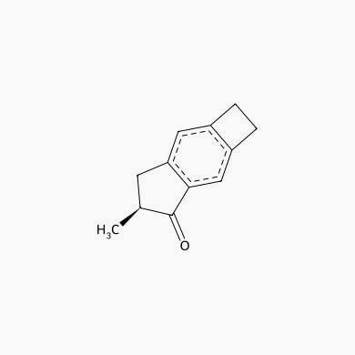 C[C@H]1Cc2cc3c(cc2C1=O)CC3